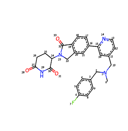 CN(Cc1ccc(F)cc1)Cc1ccnc(-c2ccc3c(c2)CN(C2CCC(=O)NC2=O)C3=O)c1